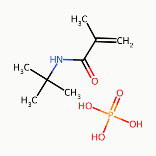 C=C(C)C(=O)NC(C)(C)C.O=P(O)(O)O